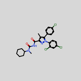 Cc1c(C(=O)NC(=O)N(C)C2CCCCC2)nn(-c2ccc(Cl)cc2Cl)c1-c1ccc(Cl)cc1